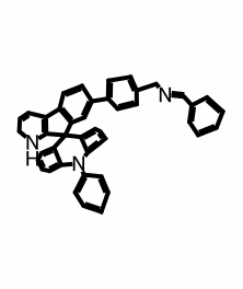 C1=CC2=C(NC1)C1(c3cc(-c4ccc(C/N=C/c5ccccc5)cc4)ccc32)c2ccccc2N(c2ccccc2)c2ccccc21